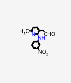 Cc1ccc(CC=O)c(Nc2cccc([N+](=O)[O-])c2)n1